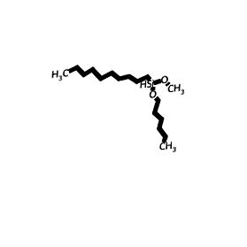 CCCCCCCCCC[SiH](OC)OCCCCCC